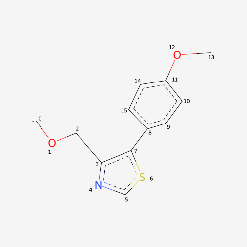 [CH2]OCc1ncsc1-c1ccc(OC)cc1